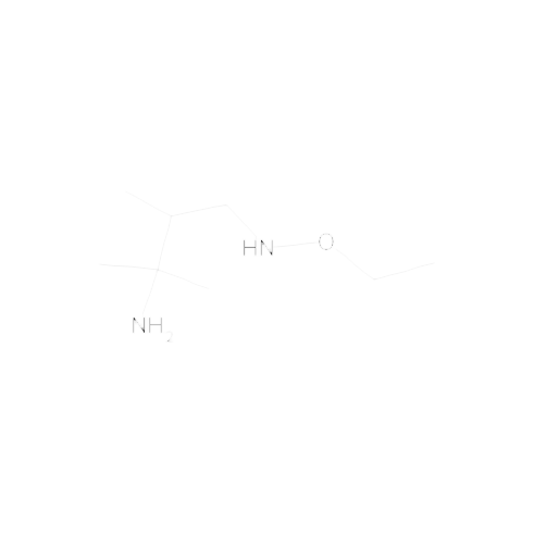 CCONCC(C)C(C)(C)N